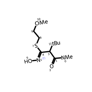 CNC(=O)C(/C(=N/O)SCCOC)C(C)(C)C